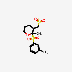 CC1(S(=O)(=O)c2cccc(C(F)(F)F)c2)OCCCC1C[SH](=O)=O